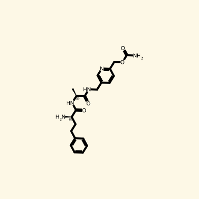 C[C@H](NC(=O)[C@H](N)CCc1ccccc1)C(=O)NCc1ccc(COC(N)=O)nc1